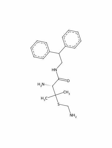 CC(C)(SCN)[C@H](N)C(=O)NCC(c1ccccc1)c1ccccc1